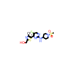 CS(=O)(=O)N1CCC(Nc2ncc(F)c(-c3sc(CO)nc3C(F)(F)F)n2)CC1